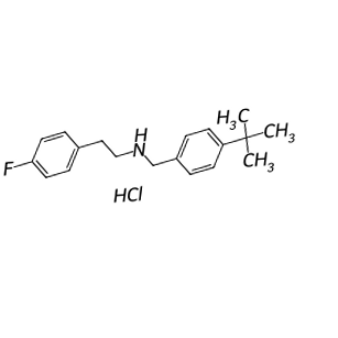 CC(C)(C)c1ccc(CNCCc2ccc(F)cc2)cc1.Cl